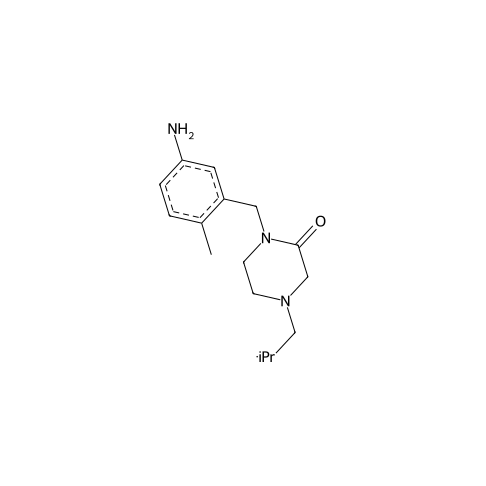 C[C](C)CN1CCN(Cc2cc(N)ccc2C)C(=O)C1